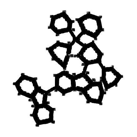 c1ccc(-c2ccc([Si](c3ccccc3)(c3ccccc3)c3ccccc3)nc2-n2c3ccccc3c3cc(-n4c5ccccc5c5ccccc54)ccc32)cc1